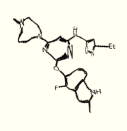 CCc1cc(Nc2cc(N3CCN(C)CC3)nc(Oc3ccc4[nH]c(C)cc4c3F)n2)on1